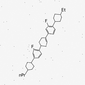 CCCC1CCC(c2ccc(C3CC=C(c4ccc(C5CCC(CC)CC5)c(F)c4)CC3)c(F)c2)CC1